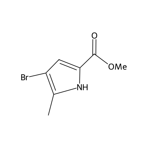 COC(=O)c1cc(Br)c(C)[nH]1